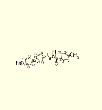 Cc1ccc(C(=O)NCCc2ccc(-c3ccc(O)cc3)cc2)cc1